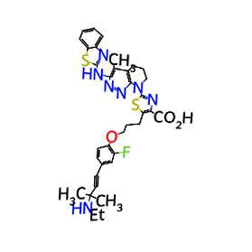 CCNC(C)(C)C#Cc1ccc(OCCCc2sc(N3CCCc4c3nnc(Nc3nc5ccccc5s3)c4C)nc2C(=O)O)c(F)c1